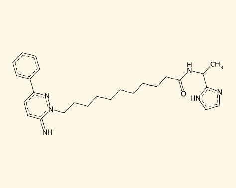 CC(NC(=O)CCCCCCCCCCn1nc(-c2ccccc2)ccc1=N)c1ncc[nH]1